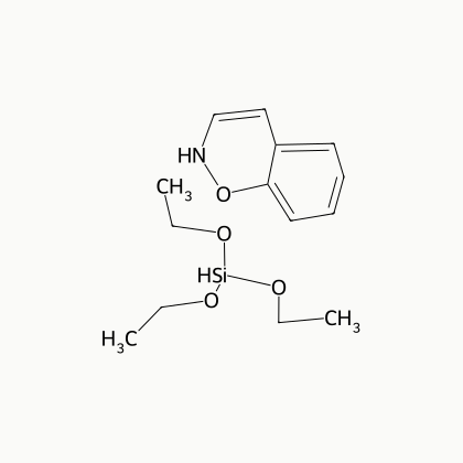 C1=Cc2ccccc2ON1.CCO[SiH](OCC)OCC